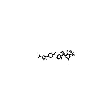 CC(C)c1noc(C2CCC(Oc3ncnc4c3nnn4-c3cc(F)cc(S(C)(=O)=O)c3F)CC2)n1